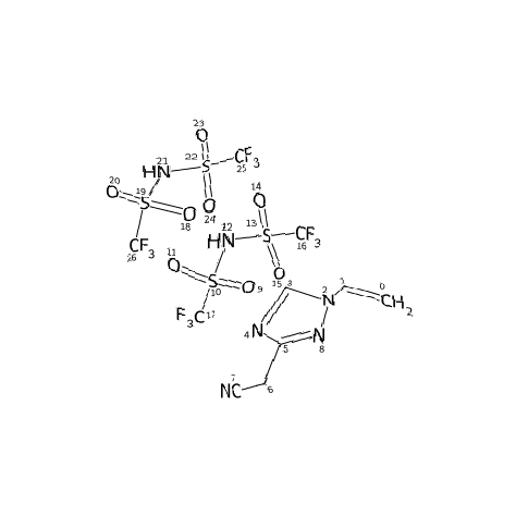 C=Cn1cnc(CC#N)n1.O=S(=O)(NS(=O)(=O)C(F)(F)F)C(F)(F)F.O=S(=O)(NS(=O)(=O)C(F)(F)F)C(F)(F)F